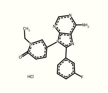 CCn1cc(-n2c(-c3cccc(F)c3)nc3c(N)ncnc32)ccc1=O.Cl